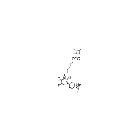 CC1CC(C)(C(=O)OCCCCCCn2c(=O)c(F)cn(-c3ccc([SiH](F)F)cc3)c2=O)C1C